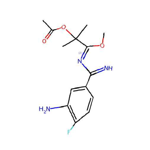 CO/C(=N\C(=N)c1ccc(F)c(N)c1)C(C)(C)OC(C)=O